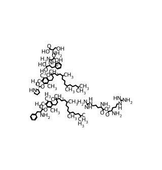 Cc1c(C)c2c(c(C)c1OC(=O)[C@@H](N)Cc1ccccc1)CCC(C)(CCCC(C)CCCC(C)CCCC(C)C)O2.Cc1c(C)c2c(c(C)c1OC(=O)[C@@H]1CCCN1)CCC(C)(CCCC(C)CCCC(C)CCCC(C)C)O2.N=C(N)NCCC[C@H](N)C(=O)OC(=O)[C@@H](N)CCCNC(=N)N.NCC(=O)O.N[C@@H](CO)C(=O)O.N[C@@H](Cc1ccccc1)C(=O)O